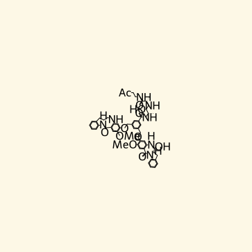 COc1cc2c(cc1OCc1cc(COc3cc4c(cc3OC)C(=O)N3c5ccccc5C[C@H]3C(O)N4)cc(C(=O)N[C@@H](C)C(O)N[C@@H](C)C(=O)NCCC(C)=O)c1)NC[C@@H]1Cc3ccccc3N1C2=O